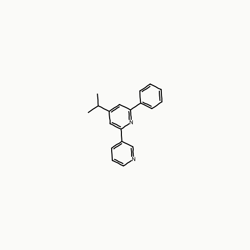 CC(C)c1cc(-c2ccccc2)nc(-c2cccnc2)c1